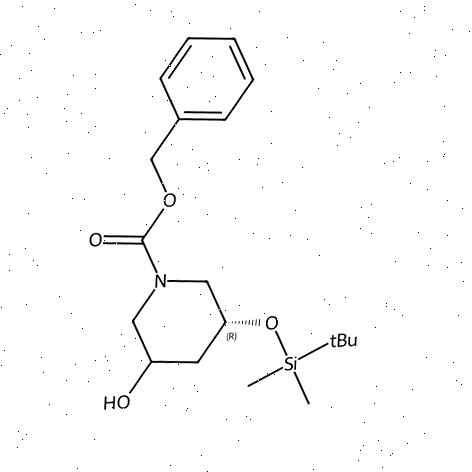 CC(C)(C)[Si](C)(C)O[C@@H]1CC(O)CN(C(=O)OCc2ccccc2)C1